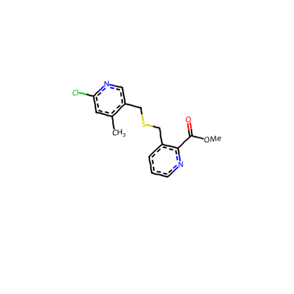 COC(=O)c1ncccc1CSCc1cnc(Cl)cc1C